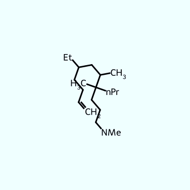 C=CCCC(CC)CC(C)C(C)(CCC)CCCNC